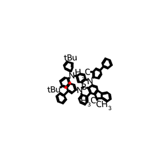 Cc1cc(-c2ccccc2)ccc1N1c2ccc(N(c3ccc(C(C)(C)C)cc3)c3ccc(C(C)(C)C)cc3)cc2B2c3c1cc1c(c3-c3ccccc3N2c2cccc(-c3ccccc3)c2)C(C)(C)c2ccccc2-1